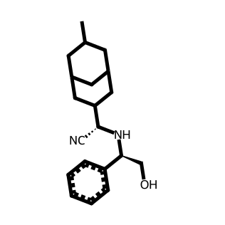 CC1CC2CC(C1)CC([C@@H](C#N)N[C@@H](CO)c1ccccc1)C2